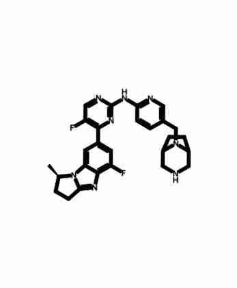 C[C@@H]1CCc2nc3c(F)cc(-c4nc(Nc5ccc(CN6C7CCC6CNC7)cn5)ncc4F)cc3n21